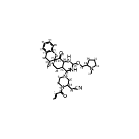 C=CC(=O)N1CCN(C2NC(OCC3CCCN3C)NC3C(=O)[C@@]4(CCC32)Sc2ccccc2CC4F)CC1CC#N